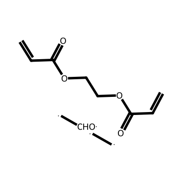 C=CC(=O)OCCOC(=O)C=C.[CH2][CH2].[CH2][C]=O